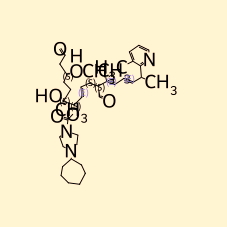 C/C(=C\C=C\C(C)c1ncccc1C)[C@@H](C=O)[C@@H](C)/C=C/[C@H](OC(=O)N1CCN(C2CCCCCC2)CC1)[C@@](C)(O)CC[C@H](O)CC=O